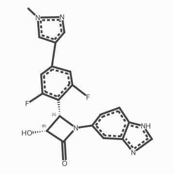 Cn1cc(-c2cc(F)c([C@H]3[C@@H](O)C(=O)N3c3ccc4[nH]cnc4c3)c(F)c2)cn1